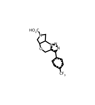 O=C(O)N1CC2OCc3c(-c4ccc(C(F)(F)F)cc4)nnn3C2C1